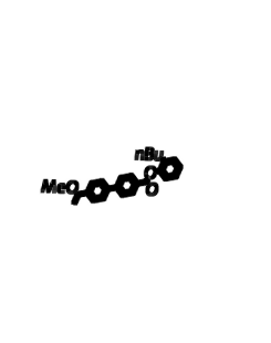 CCCCc1ccccc1OC(=O)c1ccc(-c2ccc(C(C)OC)cc2)cc1